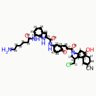 N#CC1=Cc2c(c(O)cc3c2C(CCl)CN3C(=O)c2cc3cc(NC(=O)c4cc5cccc(NC(=O)CCCCCN)c5[nH]4)ccc3o2)CC1